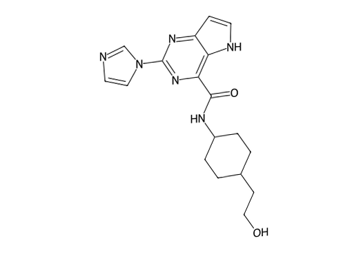 O=C(NC1CCC(CCO)CC1)c1nc(-n2ccnc2)nc2cc[nH]c12